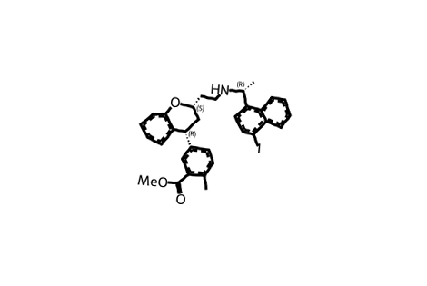 COC(=O)c1cc([C@H]2C[C@@H](CCN[C@H](C)c3ccc(I)c4ccccc34)Oc3ccccc32)ccc1C